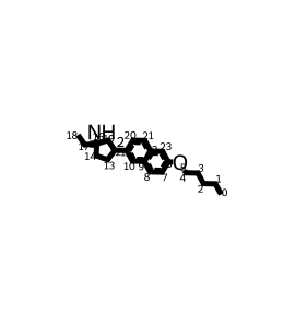 CCCCCOc1ccc2cc(C3CCC(N)(CC)C3)ccc2c1